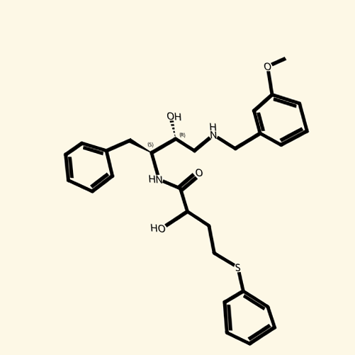 COc1cccc(CNC[C@@H](O)[C@H](Cc2ccccc2)NC(=O)C(O)CCSc2ccccc2)c1